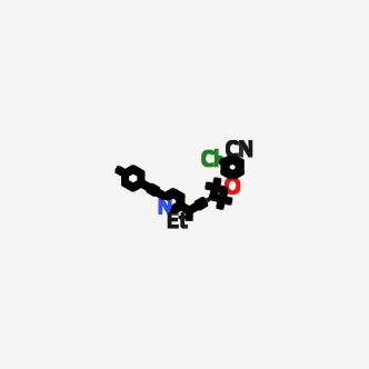 CCc1nc(C#CC2CCC(C)CC2)ccc1C(C)C#C[C@H]1C(C)(C)[C@H](Oc2ccc(C#N)c(Cl)c2)C1(C)C